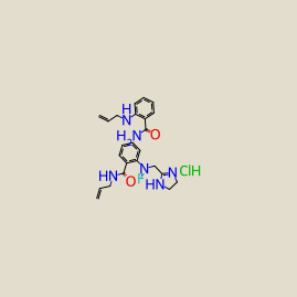 C=CCNC(=O)c1ccccc1N(F)CC1=NCCN1.C=CCNc1ccccc1C(N)=O.Cl